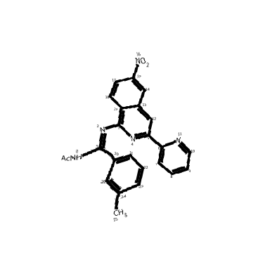 CC(=O)NC(=Nc1nc(-c2ccccn2)cc2cc([N+](=O)[O-])ccc12)c1cccc(C)c1